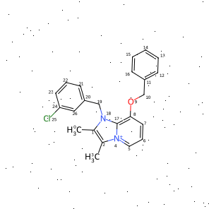 Cc1c(C)[n+]2cccc(OCc3ccccc3)c2n1Cc1cccc(Cl)c1